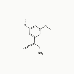 C=C=C(CN)c1cc(OC)cc(OC)c1